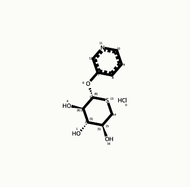 Cl.O[C@@H]1[C@@H](O)[C@H](Oc2cccnc2)SC[C@H]1O